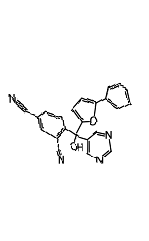 N#Cc1ccc(C(O)(c2cncnc2)c2ccc(-c3ccccc3)o2)c(C#N)c1